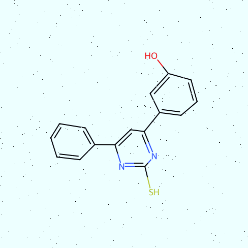 Oc1cccc(-c2cc(-c3ccccc3)nc(S)n2)c1